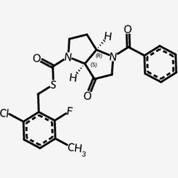 Cc1ccc(Cl)c(CSC(=O)N2CC[C@@H]3[C@H]2C(=O)CN3C(=O)c2ccccc2)c1F